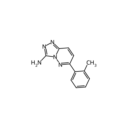 Cc1ccccc1-c1ccc2nnc(N)n2n1